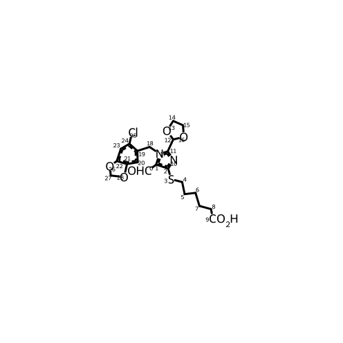 O=Cc1c(SCCCCCC(=O)O)nc(C2OCCO2)n1Cc1cc2c(cc1Cl)OCO2